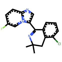 CC1(C)Cc2c(Cl)cccc2C(c2cnc3ccc(F)cn23)=N1